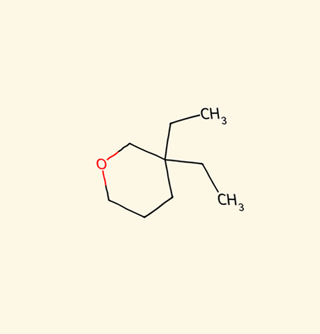 CCC1(CC)CCCOC1